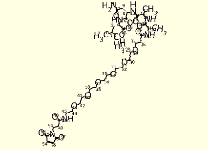 CC(C)C[C@H](NC(=O)[C@H](CC(N)=O)NC(=O)[C@H](C)NC(=O)[C@H](C)NC(=O)CCOCCOCCOCCOCCOCCOCCNC(=O)CCN1C(=O)C=CC1=O)C(=O)O